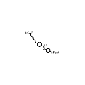 CCCCCc1ccc(OC(=O)[C@H]2CC[C@H](CCC=CC=C(F)C#N)CC2)cc1